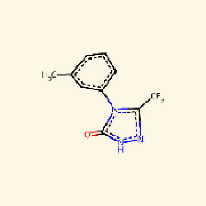 Cc1cccc(-n2c(C(F)(F)F)n[nH]c2=O)c1